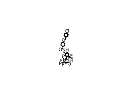 O=c1cc(C(F)(F)F)nc(-c2c(C(F)(F)F)ccc(CNC(=O)[C@H]3CC[C@H](OCc4ccc(Cl)cc4)CC3)c2F)[nH]1